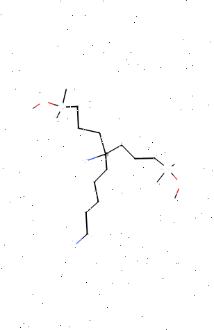 CCO[Si](C)(C)CCCC(N)(CCCCCN)CCC[Si](C)(C)OCC